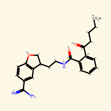 N=C(N)c1ccc2c(c1)C(CCNC(=O)c1ccccc1C(=O)CCCC(=O)O)CO2